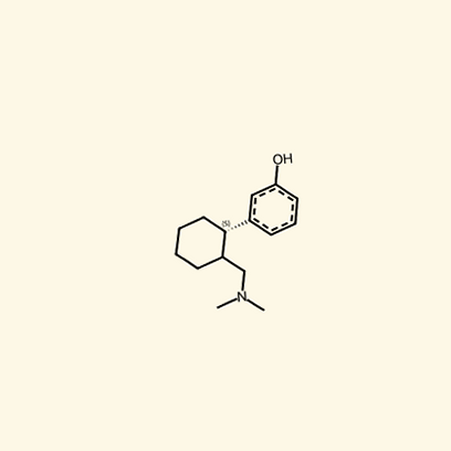 CN(C)CC1CCCC[C@@H]1c1cccc(O)c1